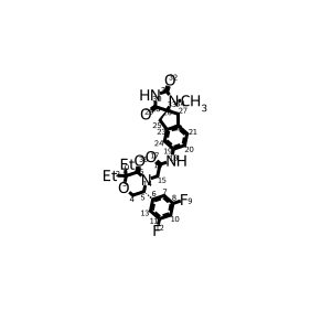 CCC1(CC)OC[C@@H](c2cc(F)cc(F)c2)N(CC(=O)Nc2ccc3c(c2)C[C@@]2(C3)C(=O)NC(=O)N2C)C1=O